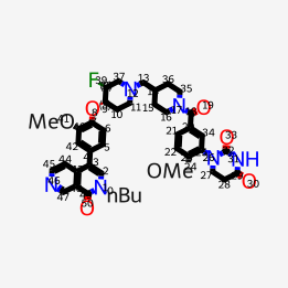 CCCCn1cc(-c2ccc(O[C@H]3CCN(CC4CCN(C(=O)c5ccc(OC)c(N6CCC(=O)NC6=O)c5)CC4)C[C@@H]3F)c(OC)c2)c2ccncc2c1=O